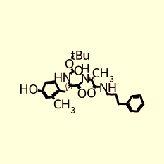 Cc1cc(O)ccc1C[C@H](NC(=O)OC(C)(C)C)C(=O)N[C@H](C)C(=O)NCCCc1ccccc1